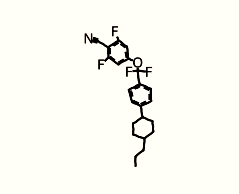 CCCC1CCC(c2ccc(C(F)(F)Oc3cc(F)c(C#N)c(F)c3)cc2)CC1